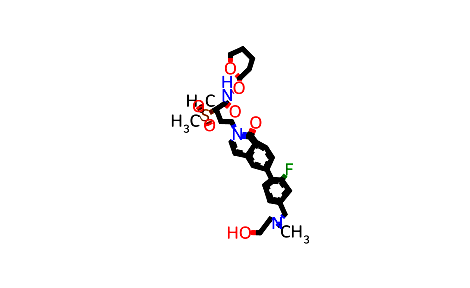 CN(CCO)Cc1ccc(-c2ccc3c(=O)n(CCC(C)(C(=O)NOC4CCCCO4)S(C)(=O)=O)ccc3c2)c(F)c1